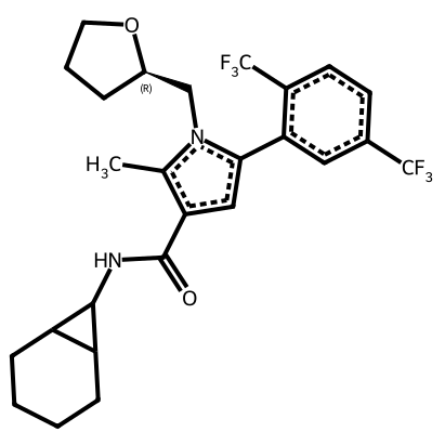 Cc1c(C(=O)NC2C3CCCCC32)cc(-c2cc(C(F)(F)F)ccc2C(F)(F)F)n1C[C@H]1CCCO1